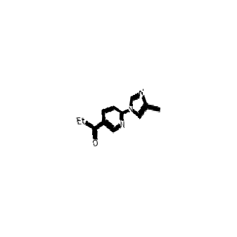 CCC(=O)c1ccc(-n2cnc(C)c2)nc1